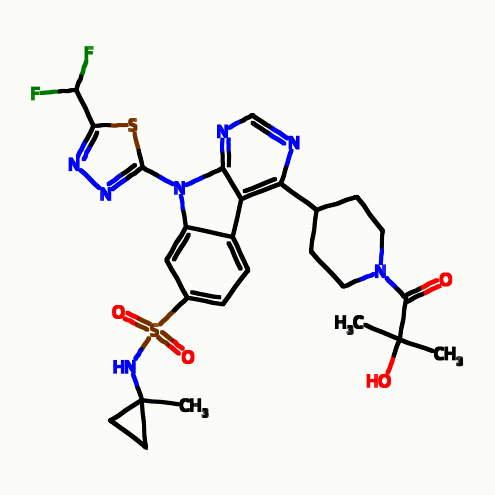 CC1(NS(=O)(=O)c2ccc3c4c(C5CCN(C(=O)C(C)(C)O)CC5)ncnc4n(-c4nnc(C(F)F)s4)c3c2)CC1